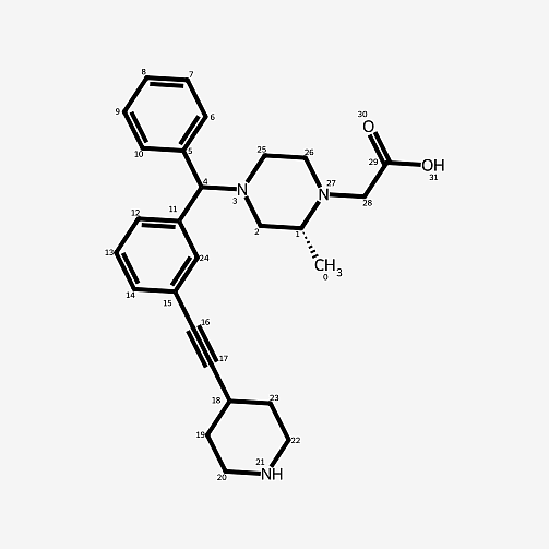 C[C@@H]1CN(C(c2ccccc2)c2cccc(C#CC3CCNCC3)c2)CCN1CC(=O)O